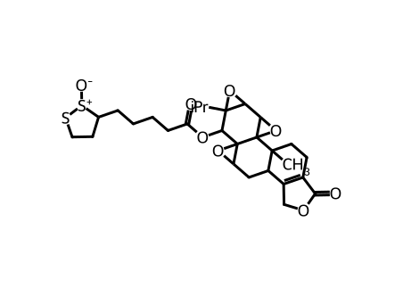 CC(C)C12OC1C1OC13C1(C)CCC4=C(COC4=O)C1CC1OC13C2OC(=O)CCCCC1CCS[S+]1[O-]